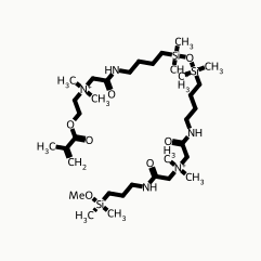 C=C(C)C(=O)OCC[N+](C)(C)CC(=O)NCCCC[Si](C)(C)O[Si](C)(C)CCCCNC(=O)C[N+](C)(C)CC(=O)NCCC[Si](C)(C)OC